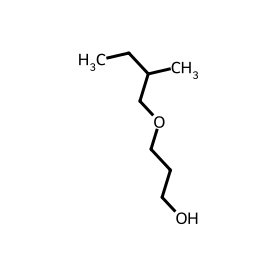 CCC(C)COCCCO